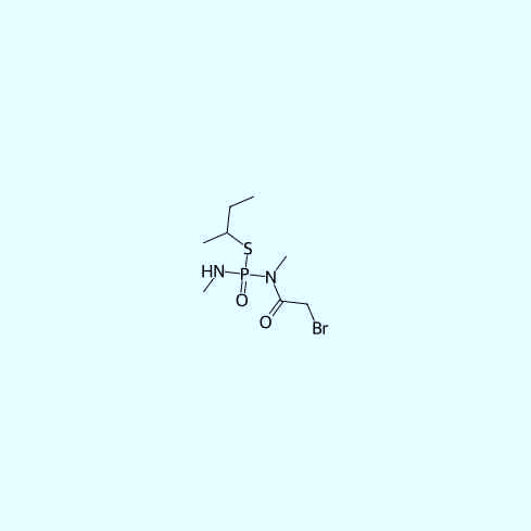 CCC(C)SP(=O)(NC)N(C)C(=O)CBr